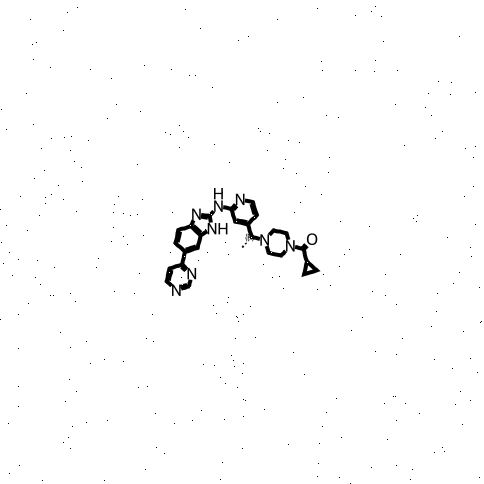 C[C@H](c1ccnc(Nc2nc3ccc(-c4ccncn4)cc3[nH]2)c1)N1CCN(C(=O)C2CC2)CC1